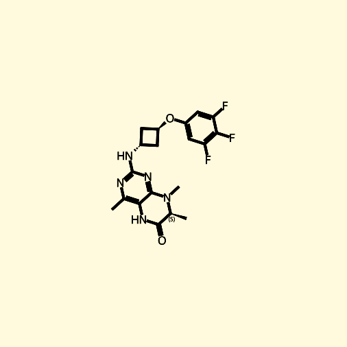 Cc1nc(N[C@H]2C[C@H](Oc3cc(F)c(F)c(F)c3)C2)nc2c1NC(=O)[C@H](C)N2C